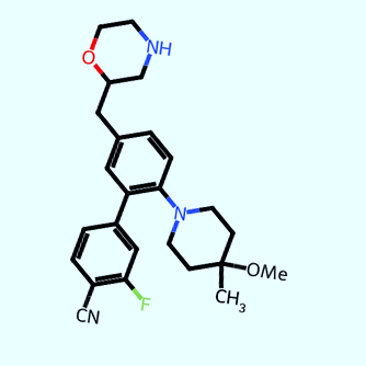 COC1(C)CCN(c2ccc(CC3CNCCO3)cc2-c2ccc(C#N)c(F)c2)CC1